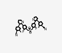 Cc1cc(-c2cccnc2-c2ccc(CS(=O)(=O)Cc3ccc(-c4ncccc4-c4ccc(C#N)c(C)c4)cc3F)c(F)c2)ccc1C#N